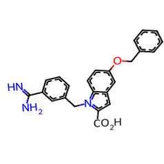 N=C(N)c1cccc(Cn2c(C(=O)O)cc3cc(OCc4ccccc4)ccc32)c1